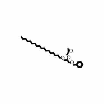 CCCCCCCCCCCCCCCCCCOCC(COCc1ccccc1)OCC1CO1